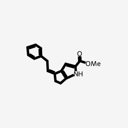 COC(=O)c1cc2c([nH]1)CC/C2=C/Cc1ccccc1